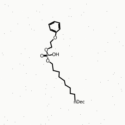 CCCCCCCCCCCCCCCCCCCOP(=O)(O)OCCOc1ccccc1